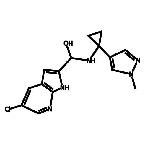 Cn1cc(C2(NC(O)c3cc4cc(Cl)cnc4[nH]3)CC2)cn1